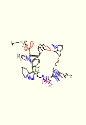 COC(=O)c1c2c3ccc(Cl)c(c3n1C)-c1c(nn3c1CCCC3)CN(P)Cc1cc(n(C)n1)CSc1cc(c3ncccc3c1)OCCC2